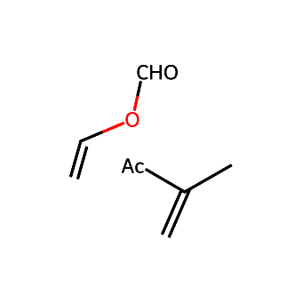 C=C(C)C(C)=O.C=COC=O